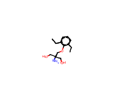 CCc1cccc(CC)c1OCC(N)(CO)CO